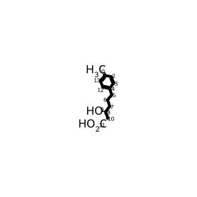 Cc1ccc(CCC[C@@H](O)CC(=O)O)cc1